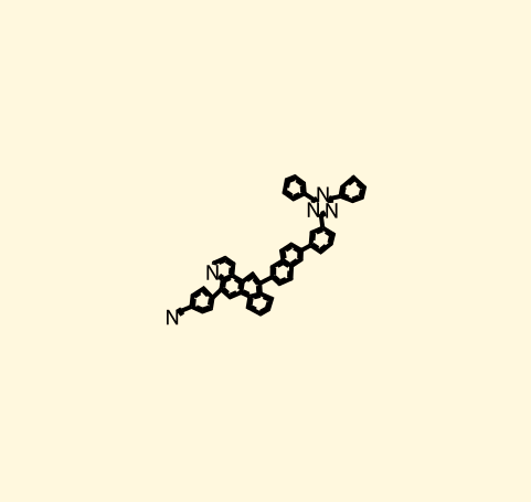 N#Cc1ccc(-c2cc3c4ccccc4c(-c4ccc5cc(-c6cccc(-c7nc(-c8ccccc8)nc(-c8ccccc8)n7)c6)ccc5c4)cc3c3cccnc23)cc1